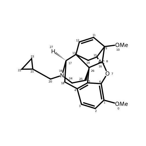 COc1ccc2c3c1OC1C4(OC)C=CC5(CC4C(C)=O)[C@@H](C2)N(CC2CC2)CC[C@]315